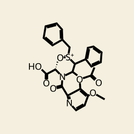 COc1ccnc(C(=O)N(C(C)C(c2ccccc2)[S+]([O-])Cc2ccccc2)[C@@H](C)C(=O)O)c1OC(C)=O